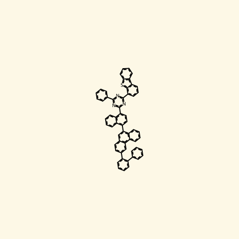 c1ccc(-c2nc(-c3ccc(-c4cc5ccc(-c6ccccc6-c6ccccc6)cc5c5ccccc45)c4ccccc34)nc(-c3cccc4c3sc3ccccc34)n2)cc1